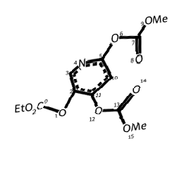 CCOC(=O)Oc1cnc(OC(=O)OC)cc1OC(=O)OC